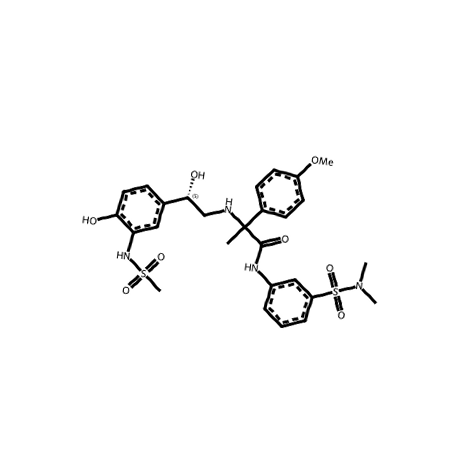 COc1ccc(C(C)(NC[C@@H](O)c2ccc(O)c(NS(C)(=O)=O)c2)C(=O)Nc2cccc(S(=O)(=O)N(C)C)c2)cc1